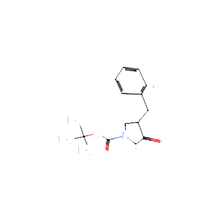 CC(C)(C)OC(=O)N1CC(=O)C(Cc2ccccc2)C1